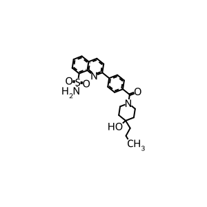 CCCC1(O)CCN(C(=O)c2ccc(-c3ccc4cccc(S(N)(=O)=O)c4n3)cc2)CC1